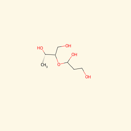 C[C@H](O)C(CO)OC(O)CCO